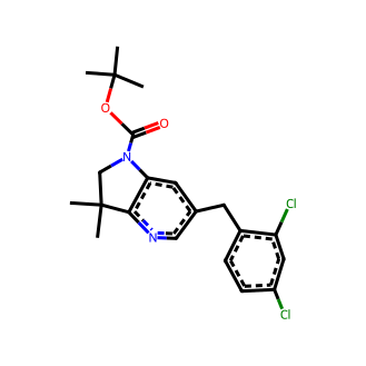 CC(C)(C)OC(=O)N1CC(C)(C)c2ncc(Cc3ccc(Cl)cc3Cl)cc21